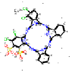 O=S(=O)([O-])c1c(Cl)c(Cl)c2c3nc4nc(nc5[nH]c(nc6nc(nc([nH]3)c2c1S(=O)(=O)[O-])-c1ccccc1-6)c1ccccc51)-c1ccc(Cl)c(Cl)c1-4.[Cu+2]